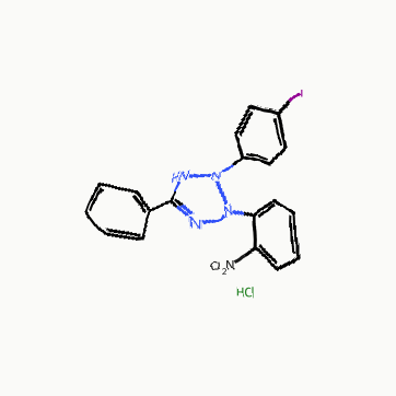 Cl.O=[N+]([O-])c1ccccc1N1N=C(c2ccccc2)NN1c1ccc(I)cc1